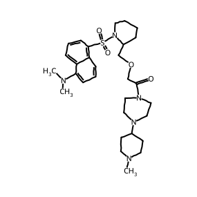 CN1CCC(N2CCN(C(=O)COCC3CCCCN3S(=O)(=O)c3cccc4c(N(C)C)cccc34)CC2)CC1